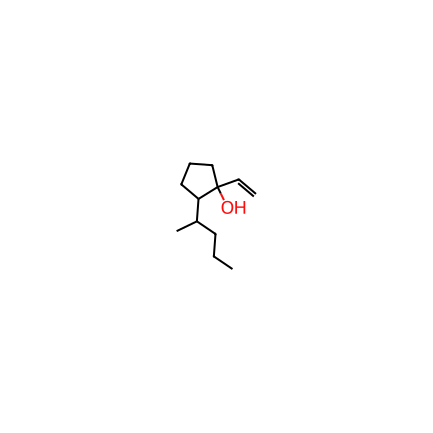 C=CC1(O)CCCC1C(C)CCC